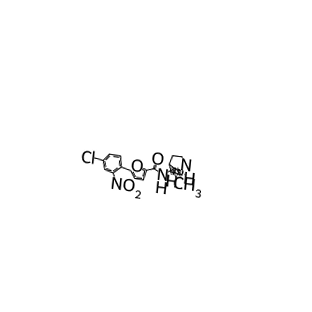 C[C@H]1[C@H](NC(=O)c2ccc(-c3ccc(Cl)cc3[N+](=O)[O-])o2)C2CCN1CC2